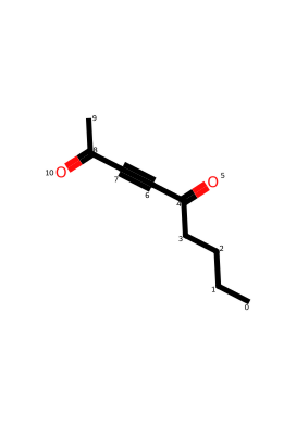 CCCCC(=O)C#CC(C)=O